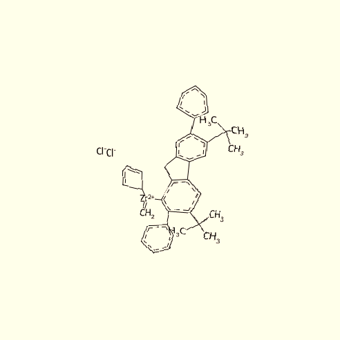 [CH2]=[Zr+2]([c]1c2c(cc(C(C)(C)C)c1-c1ccccc1)-c1cc(C(C)(C)C)c(-c3ccccc3)cc1C2)[CH]1C=CC=C1.[Cl-].[Cl-]